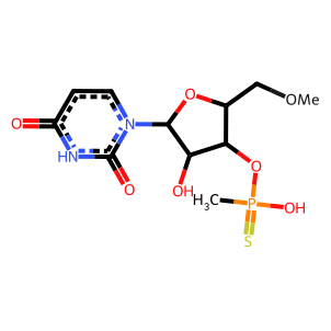 COCC1OC(n2ccc(=O)[nH]c2=O)C(O)C1OP(C)(O)=S